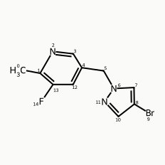 Cc1ncc(Cn2cc(Br)cn2)cc1F